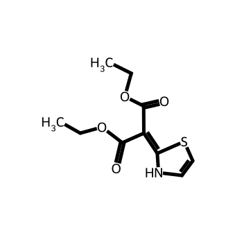 CCOC(=O)C(C(=O)OCC)=C1NC=CS1